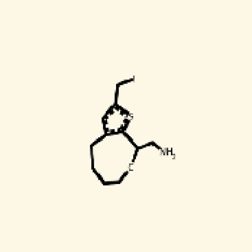 NCC1CCCCCc2cc(CI)sc21